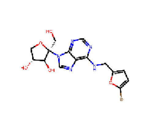 OC[C@@]1(n2cnc3c(NCc4ccc(Br)o4)ncnc32)OC[C@@H](O)[C@@H]1O